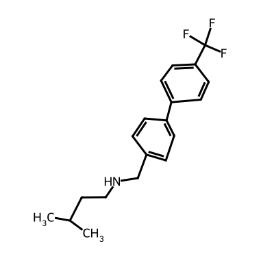 CC(C)CCNCc1ccc(-c2ccc(C(F)(F)F)cc2)cc1